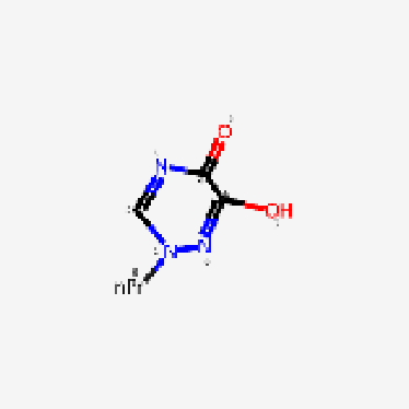 CCCn1[c]nc(=O)c(O)n1